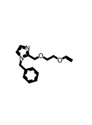 C=COCCOCc1nccn1Cc1ccccc1